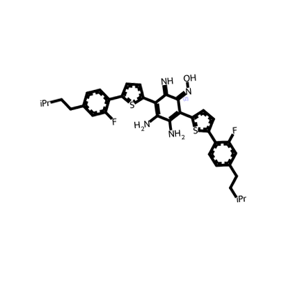 CC(C)CCc1ccc(-c2ccc(C3=C(N)C(N)=C(c4ccc(-c5ccc(CCC(C)C)cc5F)s4)/C(=N/O)C3=N)s2)c(F)c1